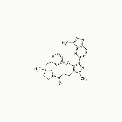 Cc1nn(-c2ccc3nnc(C)n3n2)c(C)c1CCC(=O)N1CCC(C)(Cc2ccccc2)C1